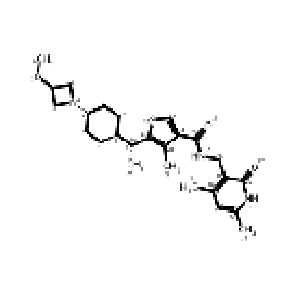 COC1CN([C@H]2CC[C@H]([C@@H](C)c3scc(C(=O)NCc4c(C)cc(C)[nH]c4=O)c3C)CC2)C1